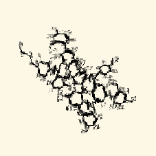 CCCCc1ccc(N2c3cccc(C)c3B3c4cc5c(cc4Oc4cc(-c6ccc(C)cc6C)cc2c43)N(c2ccc(I)cc2)c2cc(-c3ccc(C)cc3C)cc3c2B5c2cc(C)cc4c5cc(C)ccc5n-3c24)cc1